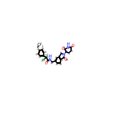 O=C1CCC(N2Cc3cc(CNC(=O)C(F)(F)c4ccc(SC(F)(F)F)cc4)ccc3C2=O)C(=O)N1